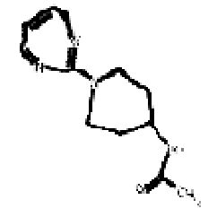 CC(=O)NC1CCN(c2ncccn2)CC1